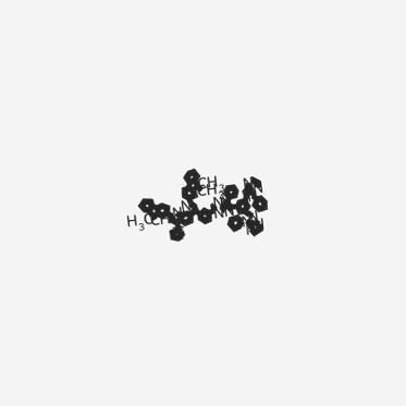 CC1(C)c2ccccc2-c2ccc(-c3cc(-c4ccccc4)c4ccc5c(-c6cccc(-c7cnc8c(n7)nc(-c7cc(-c9cc%10nccnc%10n9-c9ccccc9)cc(-c9nc%10nccnc%10n9-c9ccccc9)c7)n8-c7ccccc7)c6)cc(-c6ccc7c(c6)C(C)(C)c6ccccc6-7)nc5c4n3)cc21